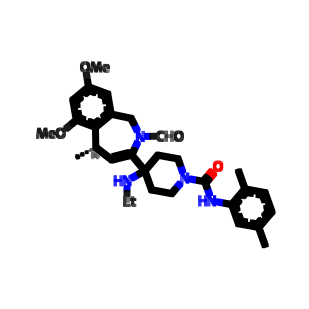 CCNC1(C2=C[C@H](C)c3c(cc(OC)cc3OC)CN2C=O)CCN(C(=O)Nc2cc(C)ccc2C)CC1